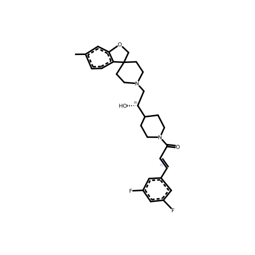 Cc1ccc2c(c1)OCC21CCN(C[C@@H](O)C2CCN(C(=O)/C=C/c3cc(F)cc(F)c3)CC2)CC1